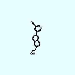 N#Cc1cncc(-c2ccc3cc(CCO)ccc3c2)c1